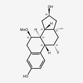 CO[C@@H]1Cc2cc(O)ccc2[C@@H]2[C@@H]1[C@@H]1C[C@@H](O)C[C@@]1(C)C[C@@H]2F